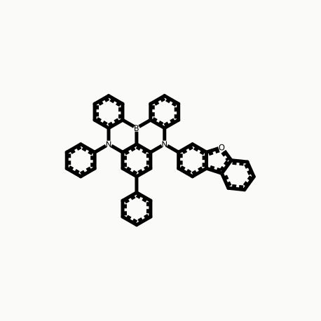 c1ccc(-c2cc3c4c(c2)N(c2ccc5c(c2)oc2ccccc25)c2ccccc2B4c2ccccc2N3c2ccccc2)cc1